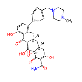 CN1CCN(Cc2ccc(-c3ccc(O)c4c3C[C@H]3C[C@H]5CC(O)=C(C(N)=O)C(=O)[C@@]5(O)C(O)=C3C4=O)cc2)CC1